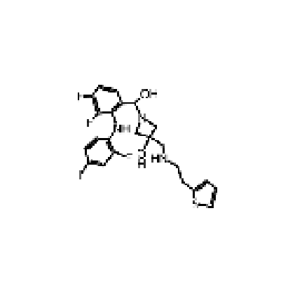 OC(c1ccc(F)c(F)c1Nc1ccc(I)cc1F)N1CC(O)(CNCCc2cccs2)C1